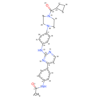 CC(=O)Nc1ccc(-c2ccnc(Nc3ccc(N4CCN(C(=O)C5CCC5)CC4)cc3)n2)cc1